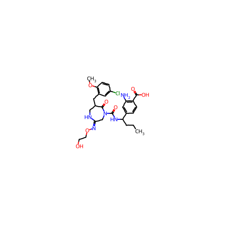 CCCC(NC(=O)N1C/C(=N/OCCO)NCC(Cc2cc(Cl)ccc2OC)C1=O)c1ccc(C(=O)O)c(N)c1